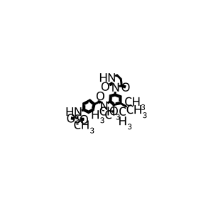 COc1c(N(C)C(=O)c2ccc(NS(C)(=O)=O)cc2)cc(N2C(=O)CCNC2=O)cc1C(C)(C)C